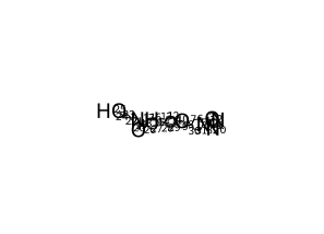 Cc1noc(N2CCC(COc3ccc(C4=CCC(C(=O)NCCCO)CC4)cc3)CC2)n1